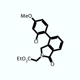 CCOC(=O)CN1Cc2c(cccc2-c2ccc(OC)cc2Cl)C1=O